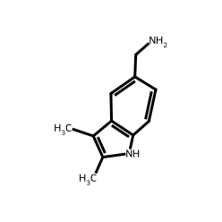 Cc1[nH]c2ccc(CN)cc2c1C